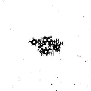 Cc1ccc(S(=O)(=O)n2c(-c3cnn(C)c3)cc3c(-c4ccc([C@@]56C[C@H]7C[C@@H](C[C@@](NC(=O)c8c(F)cccc8Cl)(C7)C5)N6)nc4)c(C#N)cnc32)cc1